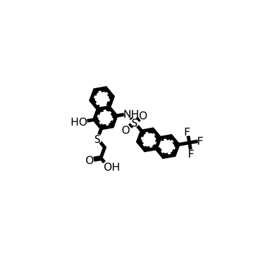 O=C(O)CSc1cc(NS(=O)(=O)c2ccc3ccc(C(F)(F)F)cc3c2)c2ccccc2c1O